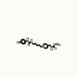 CC(C)(C)OC(=O)NCC1CCN(CCCCCNC(=O)Nc2ccc(Cl)cc2)CC1